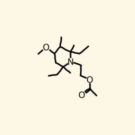 CCC1(C)CC(OC)C(C)C(C)(CC)N1CCOC(C)=O